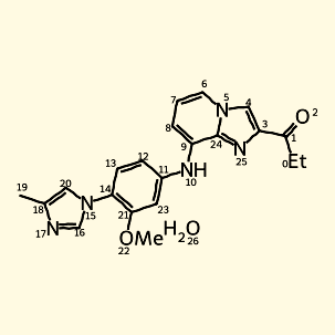 CCC(=O)c1cn2cccc(Nc3ccc(-n4cnc(C)c4)c(OC)c3)c2n1.O